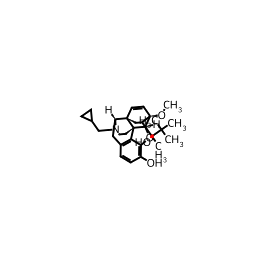 CO[C@]12C=C[C@@]3(CC1C(C)(O)C(C)(C)C)[C@H]1Cc4ccc(O)c5c4[C@@]3(CCN1CC1CC1)[C@H]2O5